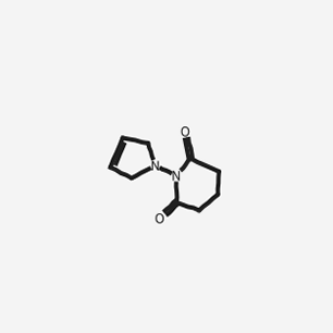 O=C1CCCC(=O)N1N1CC=CC1